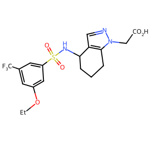 CCOc1cc(C(F)(F)F)cc(S(=O)(=O)NC2CCCc3c2cnn3CC(=O)O)c1